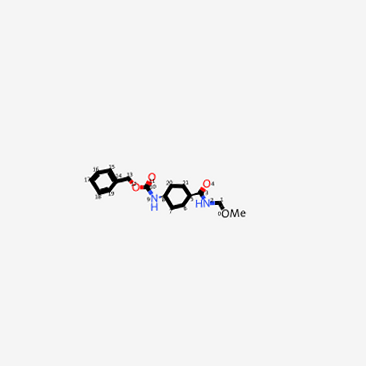 COCNC(=O)[C@H]1CC[C@H](NC(=O)OCc2ccccc2)CC1